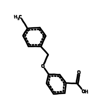 Cc1ccc(COc2cccc(C(=O)O)c2)cc1